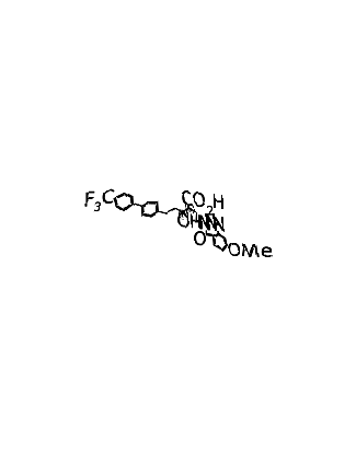 COc1ccc2c(=O)n(CC[C@H](C(=O)O)[C@H](O)CCc3ccc(-c4ccc(C(F)(F)F)cc4)cc3)nnc2c1